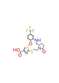 COc1ccc(C(F)(F)F)cc1NC[C@H]1CCC(=O)N1CCSc1nc(C(=O)O)cs1